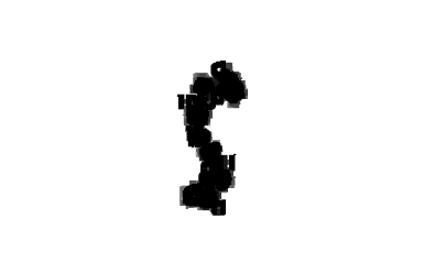 O=C(Nc1ccc(-c2nnc(-c3ccc(NC(=O)[C@@H]4CCCN4C(=O)c4nc(Cl)cc5ccccc45)cc3)o2)cc1)[C@@H]1CCCN1C(=O)c1nc(Cl)cc2ccccc12